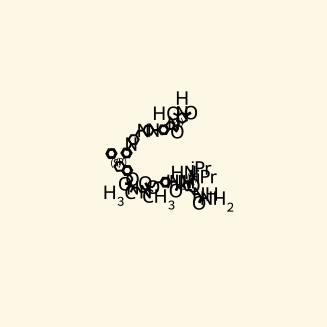 CC(C)N[C@H](C(=O)N[C@@H](CCCNC(N)=O)C(=O)Nc1ccc(COC(=O)N(C)CCN(C)C(=O)Oc2ccc3c(c2)CC[C@H](c2ccccc2)[C@@H]3c2ccc(N3CCC(CN4CCN(c5ccc6c(c5)CN([C@H]5CCC(=O)NC5O)C6=O)CC4)CC3)cc2)cc1)C(C)C